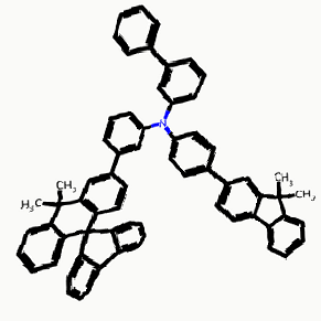 CC1(C)c2ccccc2-c2ccc(-c3ccc(N(c4cccc(-c5ccccc5)c4)c4cccc(-c5ccc6c(c5)C(C)(C)c5ccccc5C65c6ccccc6-c6ccccc65)c4)cc3)cc21